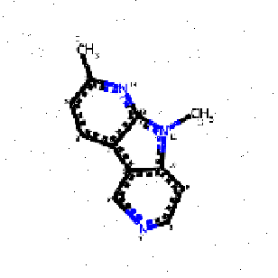 Cc1ccc2c3cnccc3n(C)c2n1